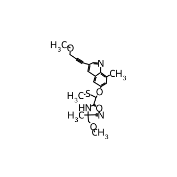 COCC#Cc1cnc2c(C)cc(OC(SC)C(=O)NC(C)(C#N)COC)cc2c1